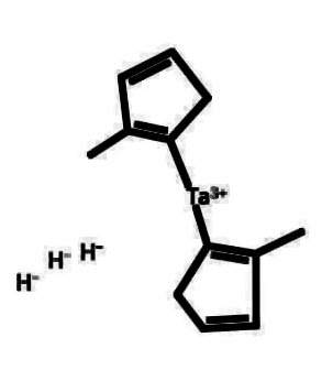 CC1=[C]([Ta+3][C]2=C(C)C=CC2)CC=C1.[H-].[H-].[H-]